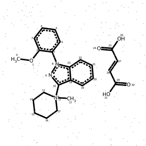 COc1ccccc1-n1nc([N+]2(C)CCCCC2)c2ccccc21.O=C(O)/C=C/C(=O)O